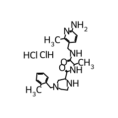 Cc1ccccc1CN1CCNC(C(=O)NC(C)C(=O)NCc2ccc(N)nc2C)C1.Cl.Cl